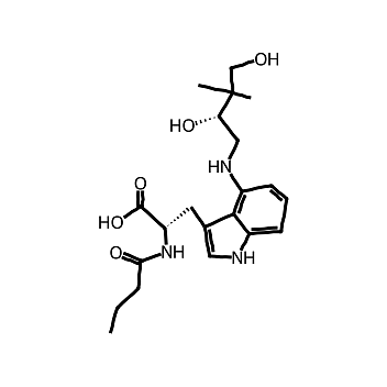 CCCC(=O)N[C@@H](Cc1c[nH]c2cccc(NC[C@H](O)C(C)(C)CO)c12)C(=O)O